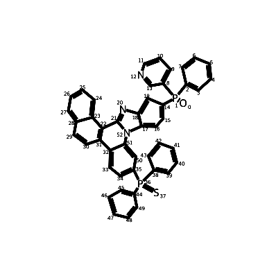 O=P(c1ccccc1)(c1cccnc1)c1ccc2c(c1)nc1c3c4ccccc4ccc3c3ccc(P(=S)(c4ccccc4)c4ccccc4)cc3n21